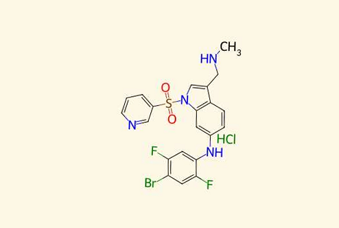 CNCc1cn(S(=O)(=O)c2cccnc2)c2cc(Nc3cc(F)c(Br)cc3F)ccc12.Cl